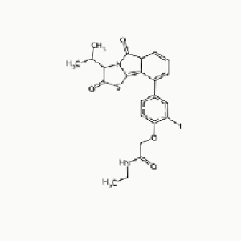 CCNC(=O)COc1ccc(C2=CC=CC3C(=O)N4C(=C23)SC(=O)C4C(C)C)cc1I